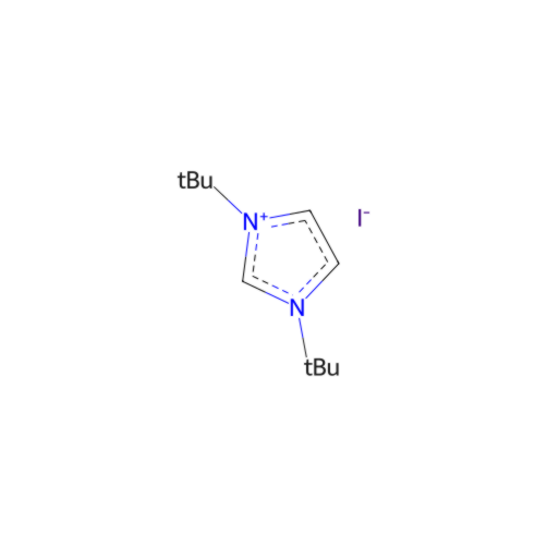 CC(C)(C)n1cc[n+](C(C)(C)C)c1.[I-]